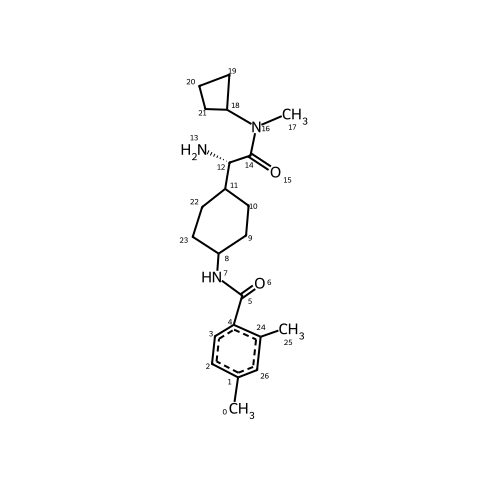 Cc1ccc(C(=O)NC2CCC([C@H](N)C(=O)N(C)C3CCC3)CC2)c(C)c1